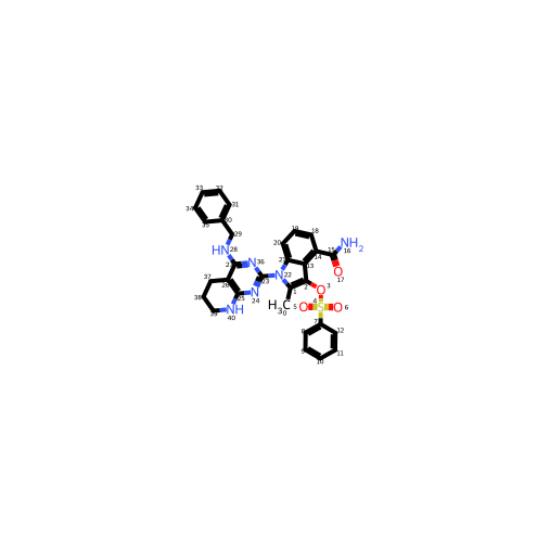 Cc1c(OS(=O)(=O)c2ccccc2)c2c(C(N)=O)cccc2n1-c1nc2c(c(NCc3ccccc3)n1)CCCN2